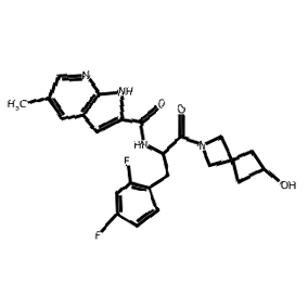 Cc1cnc2[nH]c(C(=O)NC(Cc3ccc(F)cc3F)C(=O)N3CC4(CC(O)C4)C3)cc2c1